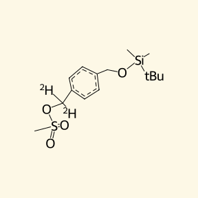 [2H]C([2H])(OS(C)(=O)=O)c1ccc(CO[Si](C)(C)C(C)(C)C)cc1